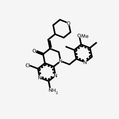 COc1c(C)cnc(CN2C/C(=C\C3CCOCC3)C(=O)c3c(Cl)nc(N)nc32)c1C